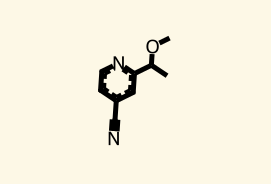 COC(C)c1cc(C#N)ccn1